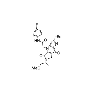 COCC(C)N1Cc2c(n(CC(=O)Nc3ccc(F)cn3)c3cc(C(C)(C)C)nn3c2=O)C1=O